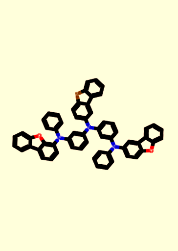 c1ccc(N(c2cccc(N(c3cccc(N(c4ccccc4)c4cccc5c4oc4ccccc45)c3)c3ccc4sc5ccccc5c4c3)c2)c2ccc3oc4ccccc4c3c2)cc1